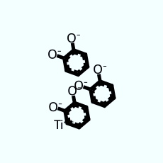 [O-]c1ccccc1[O-].[O-]c1ccccc1[O-].[O-]c1ccccc1[O-].[Ti+4]